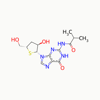 CC(C)C(=O)Nc1nc2c(ncn2[C@@H]2S[C@H](CO)C[C@H]2O)c(=O)[nH]1